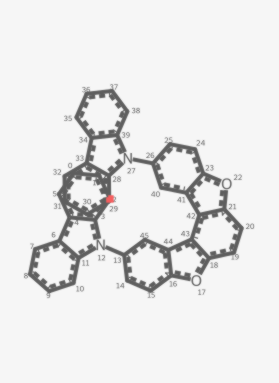 c1ccc2c(c1)c1ccccc1n2-c1ccc2oc3ccc4oc5ccc(-n6c7ccccc7c7ccccc76)cc5c4c3c2c1